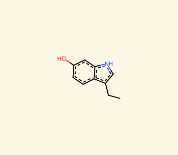 CCc1c[nH]c2cc(O)ccc12